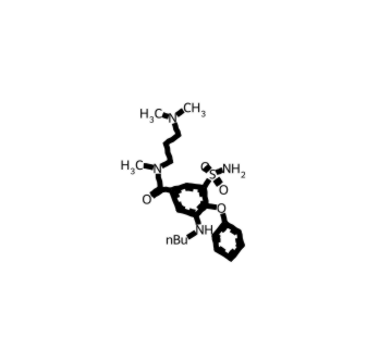 CCCCNc1cc(C(=O)N(C)CCCN(C)C)cc(S(N)(=O)=O)c1Oc1ccccc1